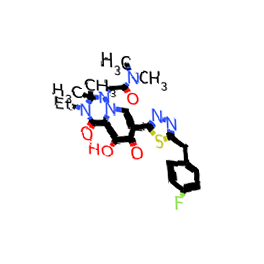 CCN1C(=O)c2c(O)c(=O)c(-c3nnc(Cc4ccc(F)cc4)s3)cn2N(CC(=O)N(C)C)C1(C)C